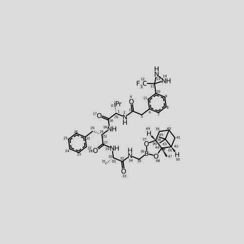 CC(C)[C@H](NC(=O)Cc1cccc(C2(C(F)(F)F)NN2)c1)C(=O)N[C@@H](Cc1ccccc1)C(=O)N[C@@H](C)C(=O)NCB1O[C@@H]2CC3C[C@@H](C3(C)C)[C@]2(C)O1